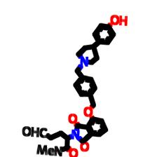 CNC(=O)C(CCC=O)N1C(=O)c2cccc(OCc3ccc(CN4CCC(c5ccc(O)cc5)CC4)cc3)c2C1=O